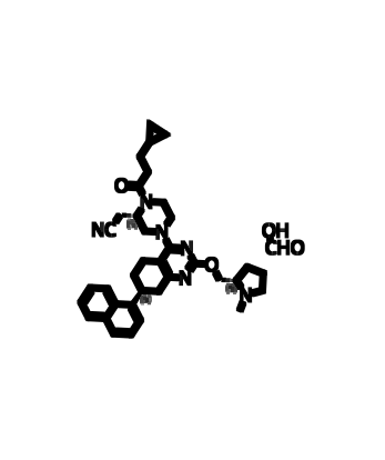 CN1CCC[C@H]1COc1nc2c(c(N3CCN(C(=O)CCC4CC4)[C@@H](CC#N)C3)n1)CC[C@H](c1cccc3ccccc13)C2.O=CO